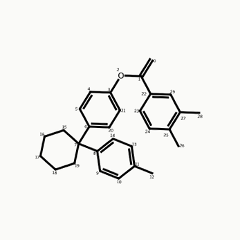 C=C(Oc1ccc(C2(c3ccc(C)cc3)CCCCC2)cc1)c1ccc(C)c(C)c1